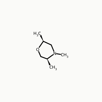 C[C@H]1CN(C)[C@@H](C)CO1